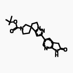 CC(C)(C)OC(=O)N1CCC2(CCn3nc(-c4cnc5c(c4)CC(=O)N5)cc32)C1